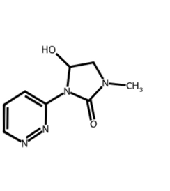 CN1CC(O)N(c2cccnn2)C1=O